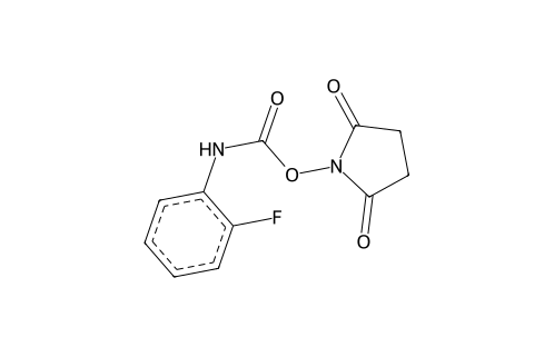 O=C(Nc1ccccc1F)ON1C(=O)CCC1=O